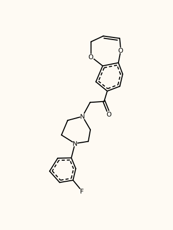 O=C(CN1CCN(c2cccc(F)c2)CC1)c1ccc2c(c1)OCC=CO2